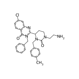 Cc1ccc(CN2C(=O)N(CCN)CCC2c2nc3cc(Cl)ccc3c(=O)n2Cc2ccccc2)cc1